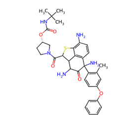 Cc1cc(Oc2ccccc2)ccc1C1(N)C(=O)C(N)C2c3c1ccc(N)c3SC2C(=O)N1CC[C@H](OC(=O)NC(C)(C)C)C1